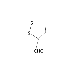 O=CC1CCSS1